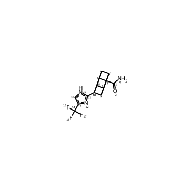 NC(=O)C12C3C4C1C1C2C3C41c1nc(C(F)(F)F)c[nH]1